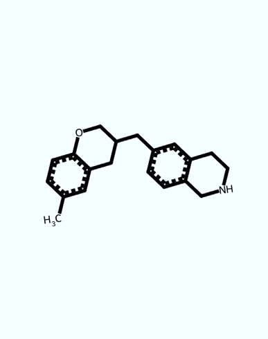 Cc1ccc2c(c1)CC(Cc1ccc3c(c1)CCNC3)CO2